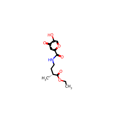 CCOC(=O)[C@H](C)CCNC(=O)c1cc(=O)c(O)co1